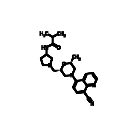 CC(C)C(=O)NC1CCN(C[C@H]2CN(c3ccc(C#N)c4ncccc34)C[C@@H](C)O2)C1